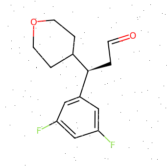 O=CC[C@@H](c1cc(F)cc(F)c1)C1CCOCC1